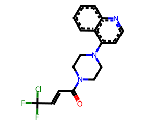 O=C(/C=C/C(F)(F)Cl)N1CCN(c2ccnc3ccccc23)CC1